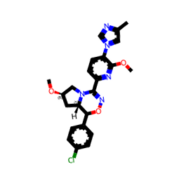 COc1nc(C2=NOC(c3ccc(Cl)cc3)[C@@H]3C[C@@H](OC)CN23)ccc1-n1cnc(C)c1